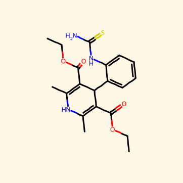 CCOC(=O)C1=C(C)NC(C)=C(C(=O)OCC)C1c1ccccc1NC(N)=S